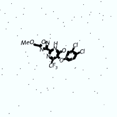 COCc1nc(-c2nc(C(F)(F)F)c(Oc3ccc(Cl)c(Cl)c3)c(=O)[nH]2)no1